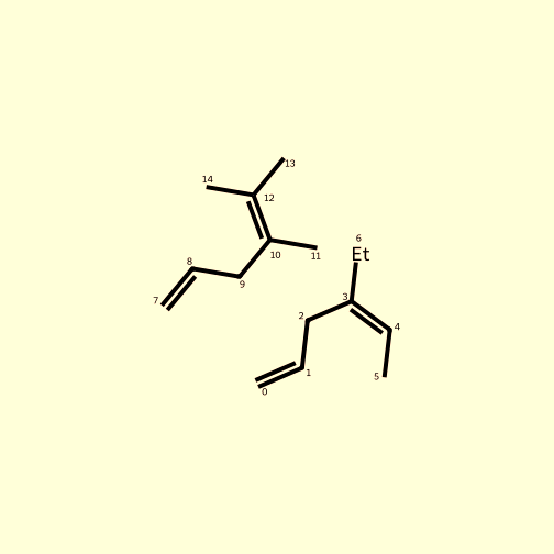 C=CCC(=CC)CC.C=CCC(C)=C(C)C